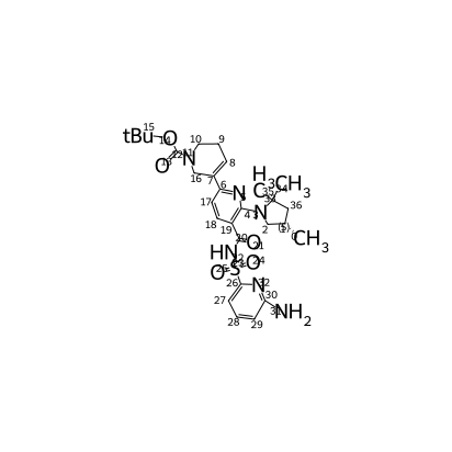 C[C@@H]1CN(c2nc(C3=CCCN(C(=O)OC(C)(C)C)C3)ccc2C(=O)NS(=O)(=O)c2cccc(N)n2)C(C)(C)C1